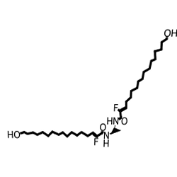 O=C(N[C@H]1C[C@H]1NC(=O)/C(F)=C/CCCCCCCCCCCCCCO)/C(F)=C/CCCCCCCCCCCCCCO